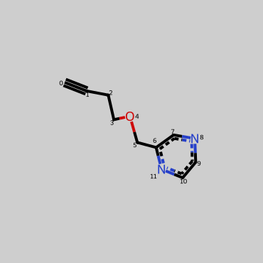 C#CCCOCc1cnccn1